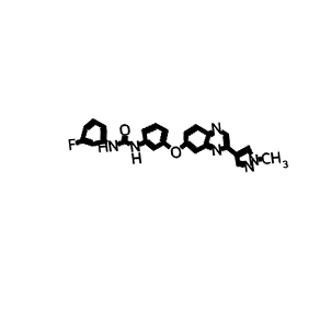 Cn1cc(-c2cnc3ccc(Oc4cccc(NC(=O)Nc5cccc(F)c5)c4)cc3n2)cn1